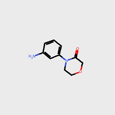 Nc1cccc(N2CCOCC2=O)c1